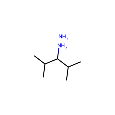 CC(C)C(N)C(C)C.N